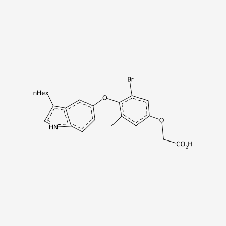 CCCCCCc1c[nH]c2ccc(Oc3c(C)cc(OCC(=O)O)cc3Br)cc12